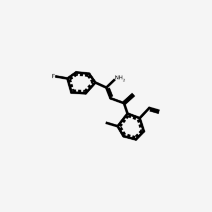 C=Cc1cccc(C)c1C(=C)/C=C(\N)c1ccc(F)cc1